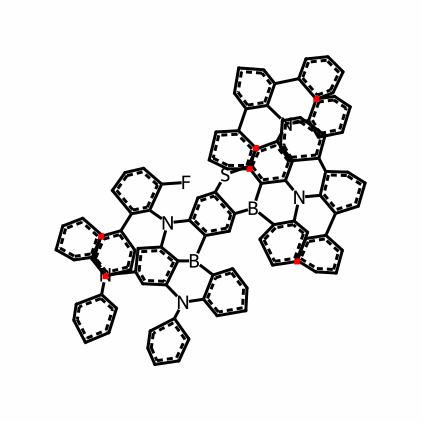 Fc1cccc(-c2ccccc2)c1N1c2cc3c(cc2B2c4ccccc4N(c4ccccc4)c4cc(N(c5ccccc5)c5ccccc5)cc1c42)B1c2ccccc2N(c2c(-c4ccccc4)cccc2-c2ccccc2)c2cc(N(c4ccccc4)c4c(-c5ccccc5)cccc4-c4ccccc4)cc(c21)S3